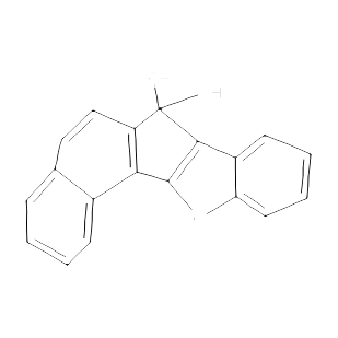 CC1(C)c2ccc3ccccc3c2-c2oc3ccccc3c21